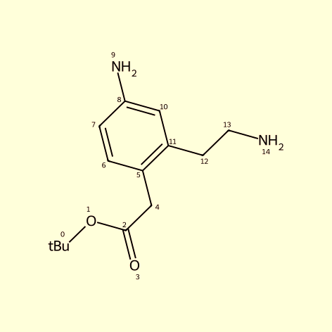 CC(C)(C)OC(=O)Cc1ccc(N)cc1CCN